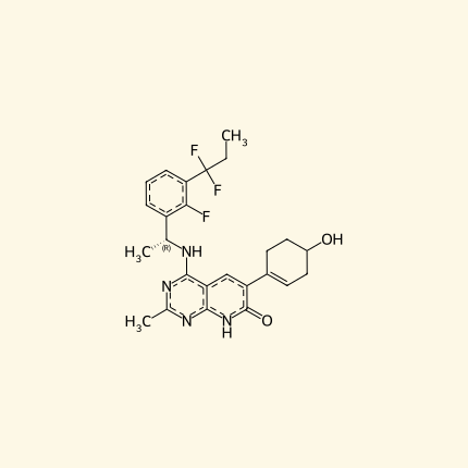 CCC(F)(F)c1cccc([C@@H](C)Nc2nc(C)nc3[nH]c(=O)c(C4=CCC(O)CC4)cc23)c1F